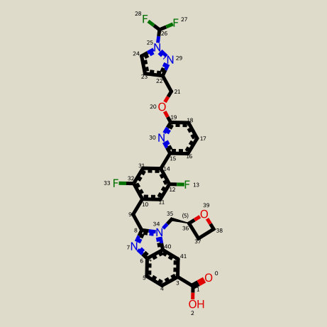 O=C(O)c1ccc2nc(Cc3cc(F)c(-c4cccc(OCc5ccn(C(F)F)n5)n4)cc3F)n(C[C@@H]3CCO3)c2c1